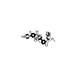 COc1cc(N2CCNCC2)c(F)cc1Nc1ncc(-c2ccc(Cl)c(OC(C)Cn3cnnn3)c2)cn1